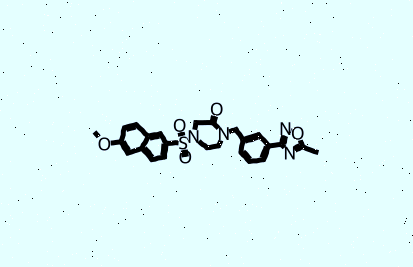 COc1ccc2cc(S(=O)(=O)N3CCN(Cc4cccc(-c5noc(C)n5)c4)C(=O)C3)ccc2c1